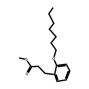 CCCCCCCOc1ccccc1CCC(=O)OC